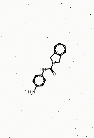 Nc1ccc(NC(=O)N2Cc3ccccc3C2)cc1